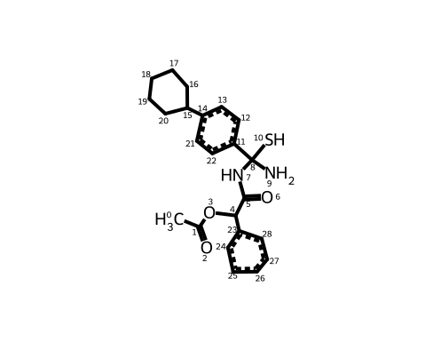 CC(=O)OC(C(=O)NC(N)(S)c1ccc(C2CCCCC2)cc1)c1ccccc1